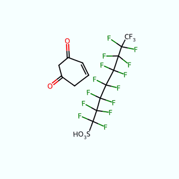 O=C1C=CCC(=O)C1.O=S(=O)(O)C(F)(F)C(F)(F)C(F)(F)C(F)(F)C(F)(F)C(F)(F)C(F)(F)C(F)(F)F